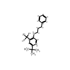 CC(C)(C)c1cc(C(F)(F)F)c(OCCCc2ccccc2)cn1